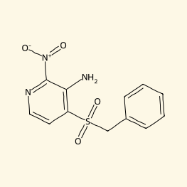 Nc1c(S(=O)(=O)Cc2ccccc2)ccnc1[N+](=O)[O-]